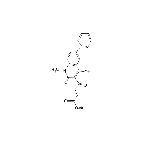 COC(=O)CCC(=O)c1c(O)c2cc(-c3ccccc3)ccc2n(C)c1=O